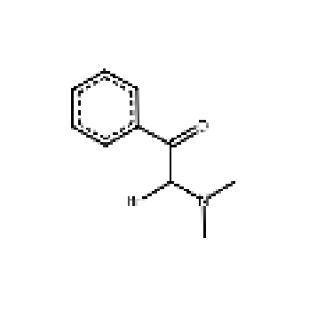 CN(C)C(Br)C(=O)c1ccccc1